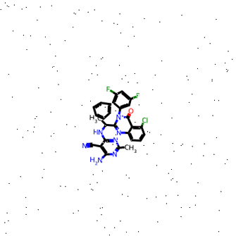 Cc1nc(N)c(C#N)c(NC(C)C2=Nc3cccc(Cl)c3C(=O)[N@@+]2(c2ccccc2)c2cc(F)cc(F)c2)n1